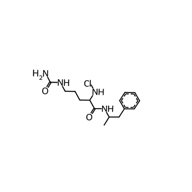 CC(Cc1ccccc1)NC(=O)C(CCCNC(N)=O)NCl